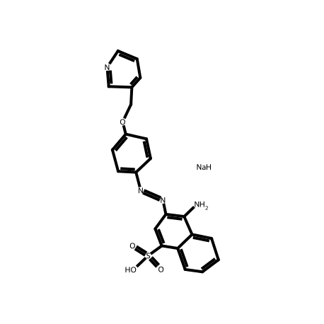 Nc1c(N=Nc2ccc(OCc3cccnc3)cc2)cc(S(=O)(=O)O)c2ccccc12.[NaH]